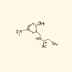 CC(=O)[C@H](CS)NCc1cc([N+](=O)[O-])ccc1O